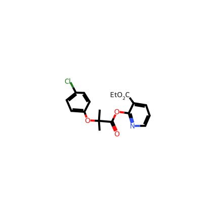 CCOC(=O)c1cccnc1OC(=O)C(C)(C)Oc1ccc(Cl)cc1